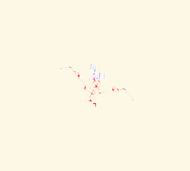 CCCCC/C=C\CCOC(=O)CCCCC(=O)OCC(COC(=O)CCCCC(=O)OCC/C=C\CCCCC)(COC(=O)CCC(CCCCCC)OC(=O)NCCN1CCCC1)COC(=O)C12CC(C1)C2